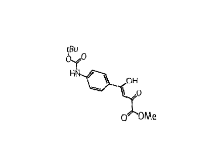 COC(=O)C(=O)/C=C(\O)c1ccc(NC(=O)OC(C)(C)C)cc1